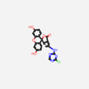 O=C1OC2(c3ccc(O)cc3Oc3cc(O)ccc32)c2ccc(Nc3n[c]nc(Cl)n3)cc21